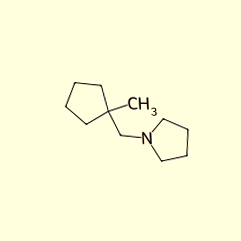 CC1(CN2CCCC2)CCCC1